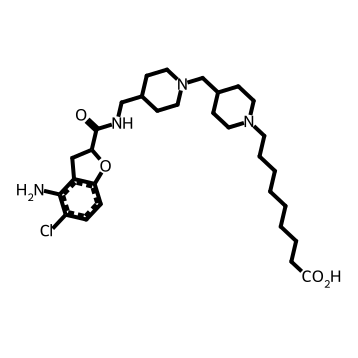 Nc1c(Cl)ccc2c1CC(C(=O)NCC1CCN(CC3CCN(CCCCCCCCC(=O)O)CC3)CC1)O2